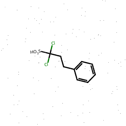 O=S(=O)(O)C(Cl)(Cl)CCc1ccccc1